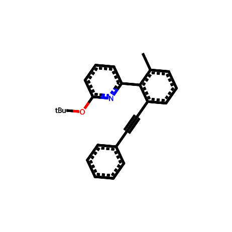 Cc1cccc(C#Cc2ccccc2)c1-c1cccc(OC(C)(C)C)n1